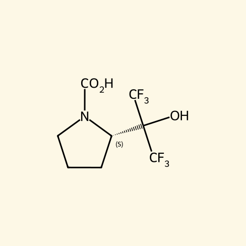 O=C(O)N1CCC[C@H]1C(O)(C(F)(F)F)C(F)(F)F